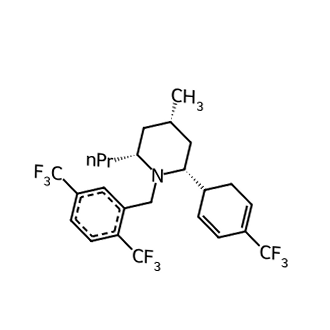 CCC[C@@H]1C[C@H](C)C[C@H](C2C=CC(C(F)(F)F)=CC2)N1Cc1cc(C(F)(F)F)ccc1C(F)(F)F